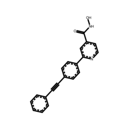 O=C(NO)c1ccnc(-c2ccc(C#Cc3ccccc3)cc2)c1